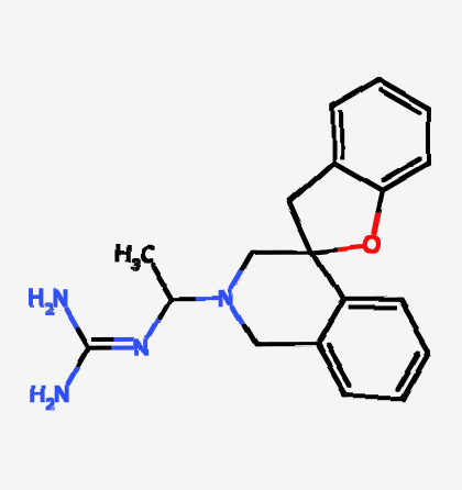 CC(N=C(N)N)N1Cc2ccccc2C2(Cc3ccccc3O2)C1